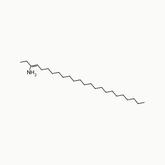 CCCCCCCCCCCCCCCCCCCCC=C(N)CC